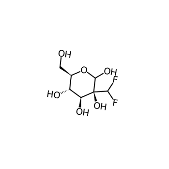 OC[C@H]1OC(O)[C@](O)(C(F)F)[C@@H](O)[C@@H]1O